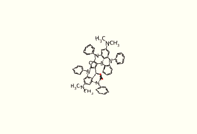 CN(C)c1cc2c3c(c1)N(c1ccccc1)c1oc4c(c1B3c1ccccc1N2c1ccccc1)C1c2ccccc2N(c2ccccc2)c2cc(N(C)C)cc(c21)N4c1ccccc1